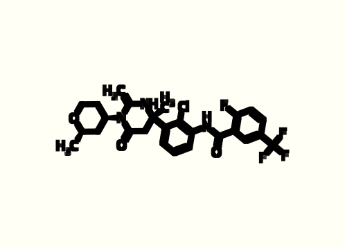 C=C1N[C@](C)(c2cccc(NC(=O)c3cc(C(F)(F)F)ccc3F)c2Cl)CC(=O)N1[C@@H]1CCO[C@H](C)C1